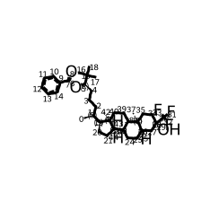 C[C@@H](CCC[C@@H](OC(=O)c1ccccc1)C(C)(C)C)[C@@H]1CC[C@H]2[C@@H]3CC[C@H]4C[C@](O)(C(F)(F)F)CC[C@]4(C)C3CC[C@@]21C